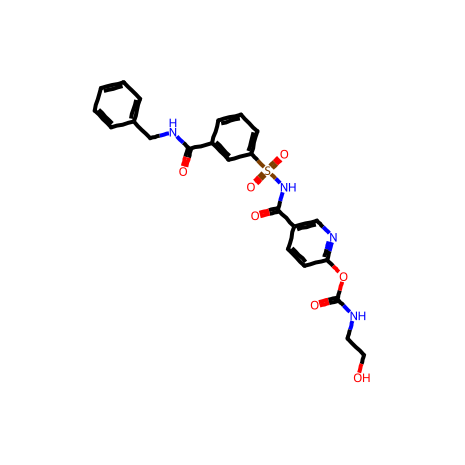 O=C(NCCO)Oc1ccc(C(=O)NS(=O)(=O)c2cccc(C(=O)NCc3ccccc3)c2)cn1